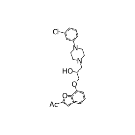 CC(=O)c1cc2cccc(OCC(O)CN3CCN(c4cccc(Cl)c4)CC3)c2o1